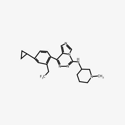 CN1CCCC(Nc2nnc(-c3ccc(C4CC4)cc3CC(F)(F)F)c3cncn23)C1